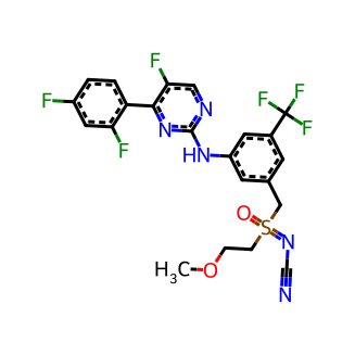 COCCS(=O)(Cc1cc(Nc2ncc(F)c(-c3ccc(F)cc3F)n2)cc(C(F)(F)F)c1)=NC#N